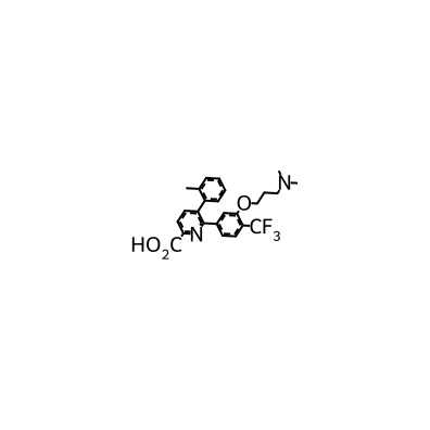 Cc1ccccc1-c1ccc(C(=O)O)nc1-c1ccc(C(F)(F)F)c(OCCCN(C)C)c1